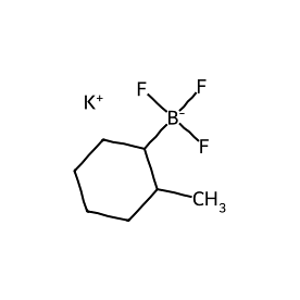 CC1CCCCC1[B-](F)(F)F.[K+]